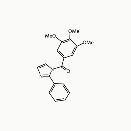 COc1cc(C(=O)n2ccnc2-c2ccccc2)cc(OC)c1OC